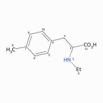 CCNC(Cc1ccc(C)cc1)C(=O)O